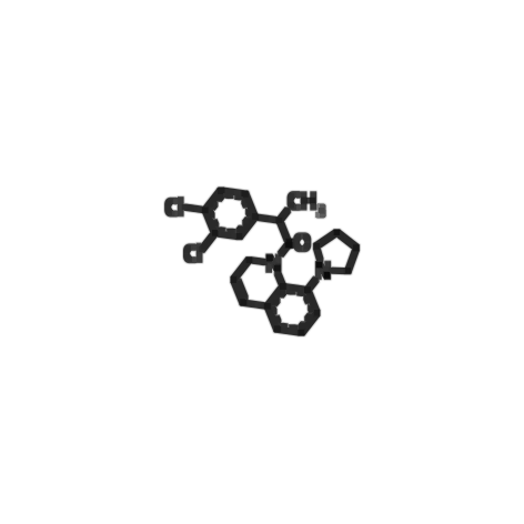 CC(C(=O)N1CC=Cc2cccc(N3CCCC3)c21)c1ccc(Cl)c(Cl)c1